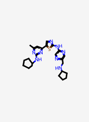 Cc1cc(-c2cnc(Nc3cnc(CNC4CCCC4)cn3)s2)nc(NC2CCCCC2)n1